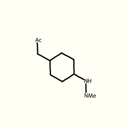 CNNC1CCC(CC(C)=O)CC1